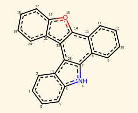 c1ccc2c(c1)[nH]c1c3ccccc3c3oc4ccccc4c3c21